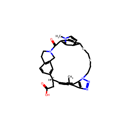 Cc1c2ccc3c1nnn3CCCCCc1ccc(c3c1ccn3C)C(=O)N1CCc3ccc(cc3C1)[C@@H]2CC(=O)O